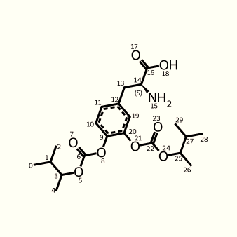 CC(C)C(C)OC(=O)Oc1ccc(C[C@H](N)C(=O)O)cc1OC(=O)OC(C)C(C)C